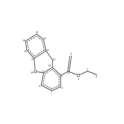 CCOC(=O)c1cccc2c1Cc1ccccc1O2